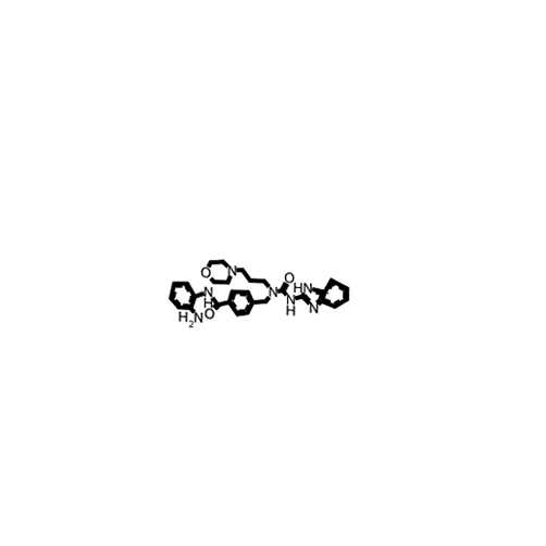 Nc1ccccc1NC(=O)c1ccc(CN(CCCN2CCOCC2)C(=O)Nc2nc3ccccc3[nH]2)cc1